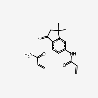 C=CC(=O)Nc1ccc2c(c1)C(C)(C)CC2=O.C=CC(N)=O